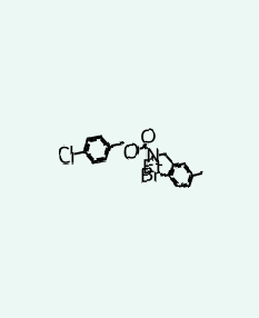 CCN(Cc1cc(C)ccc1Br)C(=O)OCc1ccc(Cl)cc1